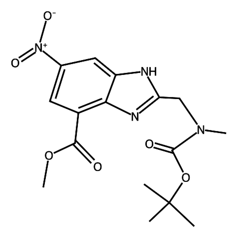 COC(=O)c1cc([N+](=O)[O-])cc2[nH]c(CN(C)C(=O)OC(C)(C)C)nc12